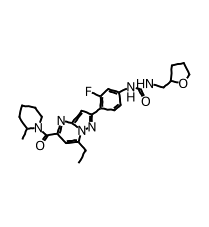 CCc1cc(C(=O)N2CCCCC2C)nc2cc(-c3ccc(NC(=O)NCC4CCCO4)cc3F)nn12